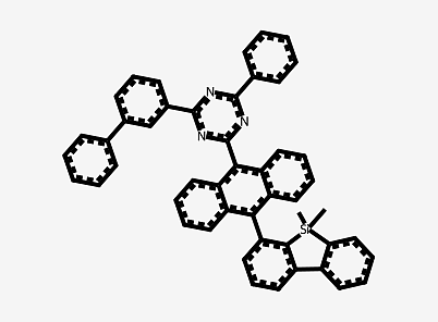 C[Si]1(C)c2ccccc2-c2cccc(-c3c4ccccc4c(-c4nc(-c5ccccc5)nc(-c5cccc(-c6ccccc6)c5)n4)c4ccccc34)c21